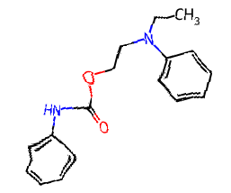 CCN(CCOC(=O)Nc1ccccc1)c1ccccc1